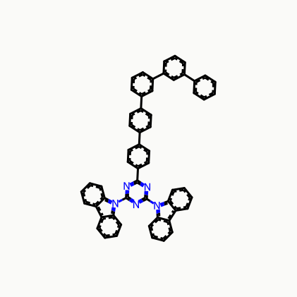 c1ccc(-c2cccc(-c3cccc(-c4ccc(-c5ccc(-c6nc(-n7c8ccccc8c8ccccc87)nc(-n7c8ccccc8c8ccccc87)n6)cc5)cc4)c3)c2)cc1